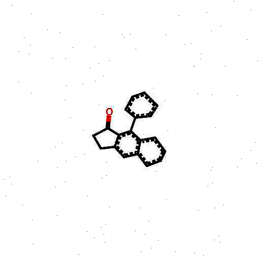 O=C1CCc2cc3ccccc3c(-c3ccccc3)c21